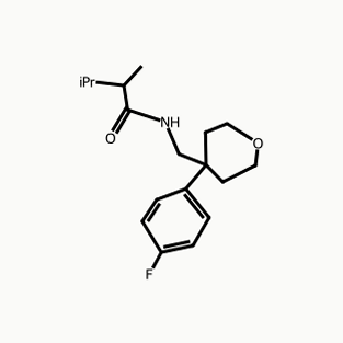 CC(C)C(C)C(=O)NCC1(c2ccc(F)cc2)CCOCC1